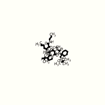 CCCCC(NC(=O)[C@@H]1C(C(C)(C)I)CCN1C(=O)[C@@H](N(C)C(=O)NC1(CS(=O)(=O)C(C)(C)C)CCCCC1)C(C)(C)C)C(=O)C(=O)NCCC